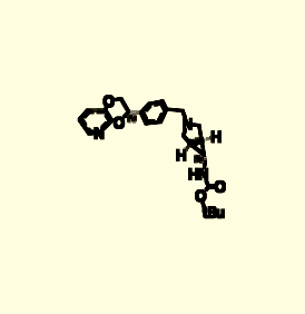 CC(C)(C)OC(=O)NC[C@@H]1[C@H]2CN(Cc3ccc([C@H]4COc5cccnc5O4)cc3)C[C@@H]12